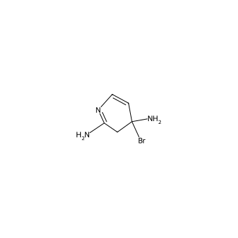 NC1=NC=CC(N)(Br)C1